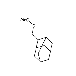 COOCC1C2CC3CC(C2)CC1C3